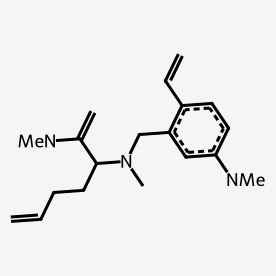 C=CCCC(C(=C)NC)N(C)Cc1cc(NC)ccc1C=C